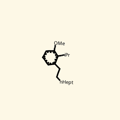 CCCCCCCCCc1cccc(OC)c1C(C)C